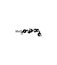 COC(=O)c1ccc(Cn2ccc3cc(N4CCC5(CCN(Cc6cccnc6)C5)CC4)cnc32)cc1